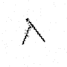 CCCCCCCCCCCCCCCC(CC(=O)OC(C)(C)C)OC(=O)CNC(=O)CNC(=O)CCCCCCC